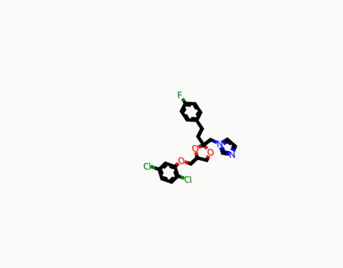 Fc1ccc(CCC2(Cn3ccnc3)OCC(COc3cc(Cl)ccc3Cl)O2)cc1